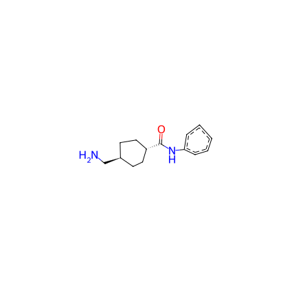 NC[C@H]1CC[C@H](C(=O)Nc2ccccc2)CC1